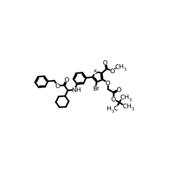 COC(=O)c1sc(-c2cccc(NC(C(=O)OCc3ccccc3)C3CCCCC3)c2)c(Br)c1OCC(=O)OC(C)(C)C